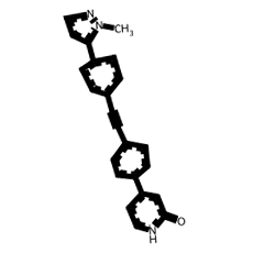 Cn1nccc1-c1ccc(C#Cc2ccc(-c3cc[nH]c(=O)c3)cc2)cc1